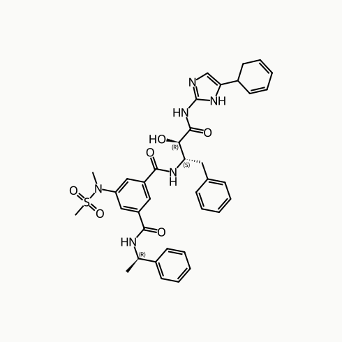 C[C@@H](NC(=O)c1cc(C(=O)N[C@@H](Cc2ccccc2)[C@@H](O)C(=O)Nc2ncc(C3C=CC=CC3)[nH]2)cc(N(C)S(C)(=O)=O)c1)c1ccccc1